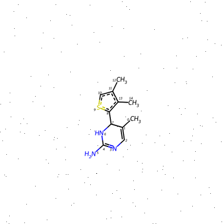 CC1=CN=C(N)NC1c1scc(C)c1C